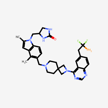 Cc1c(CN2CCC3(CC2)CN(c2ncnc4ccc(CC(F)(F)P)cc24)C3)ccc2c1cc(C#N)n2CC1CNC(=O)N1